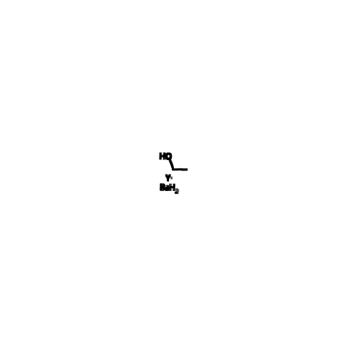 CCO.[BaH2].[Y]